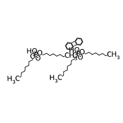 CCCCCCCCOP(=O)(O)OCCCCCCCC.CCCCCCCCOP(=O)(O)OCCCCCCCC.c1ccc2c(c1)-c1ccccc1-2